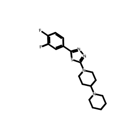 Fc1ccc(-c2nnc(N3CCC(N4CCCCC4)CC3)s2)cc1F